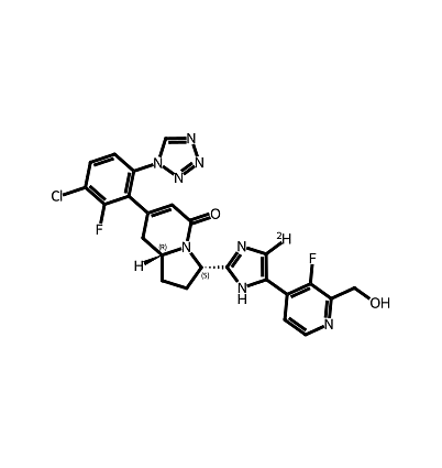 [2H]c1nc([C@@H]2CC[C@@H]3CC(c4c(-n5cnnn5)ccc(Cl)c4F)=CC(=O)N32)[nH]c1-c1ccnc(CO)c1F